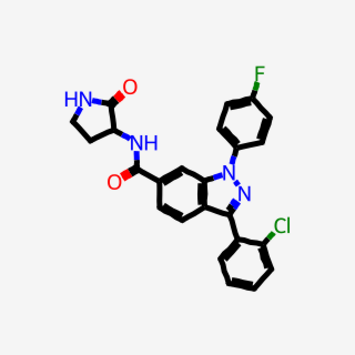 O=C(NC1CCNC1=O)c1ccc2c(-c3ccccc3Cl)nn(-c3ccc(F)cc3)c2c1